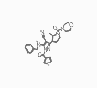 CC1C(c2nn(C(=O)c3ccsc3)c(N(C)Cc3ccccc3)c2C#N)CCN1C(=O)N1CCOCC1